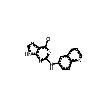 Clc1nc(Nc2ccc3ncccc3c2)nc2[nH]cnc12